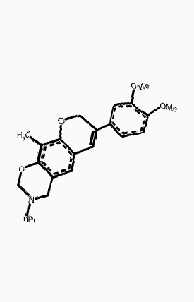 CCCN1COc2c(cc3c(c2C)OCC(c2ccc(OC)c(OC)c2)=C3)C1